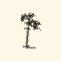 CCCCCNC(=O)CCOCCOCCOCCOCCOCCC(=O)NCCCCC(NC(=O)CCCCC[N+]1=C(/C=C/C=C/C=C2/N(C)c3ccc4ccccc4c3C2(C)C)C(C)(C)c2c1ccc1ccccc21)C(=O)NCCCCC(NC(=O)[C@@H]1Cc2ccccc2CN1C(=O)[C@H](Cc1c(C)cc(O)cc1C)N(C)C)C(N)=O